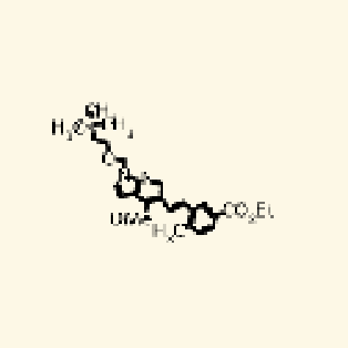 CCOC(=O)c1ccc(C)c(/C=C/c2cnc3c(ccn3COCC[Si](C)(C)C)c2OC)c1